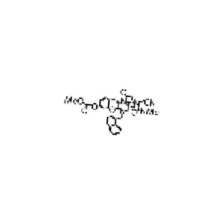 CNC(=O)N(CC#N)N1CC(=O)N2[C@@H](Cc3ccc(OCC(=O)OC)cc3)C(=O)N(Cc3cccc4ccccc34)C[C@@H]21